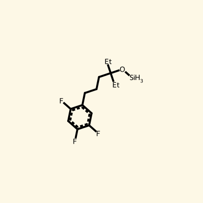 CCC(CC)(CCCc1cc(F)c(F)cc1F)O[SiH3]